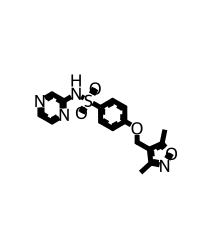 Cc1noc(C)c1COc1ccc(S(=O)(=O)Nc2cnccn2)cc1